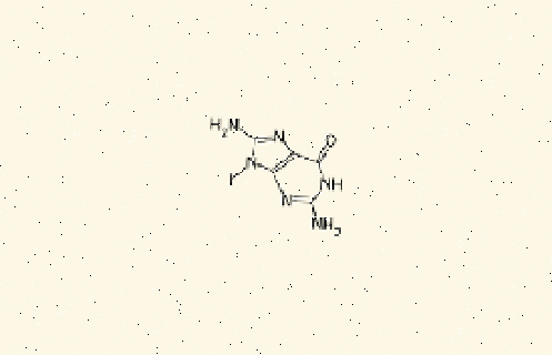 Nc1nc2c(nc(N)n2I)c(=O)[nH]1